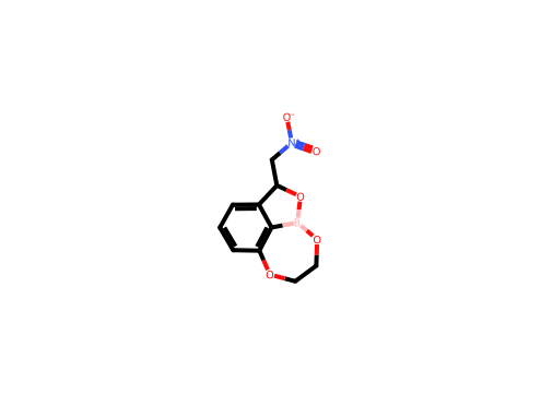 O=[N+]([O-])CC1OB2OCCOc3cccc1c32